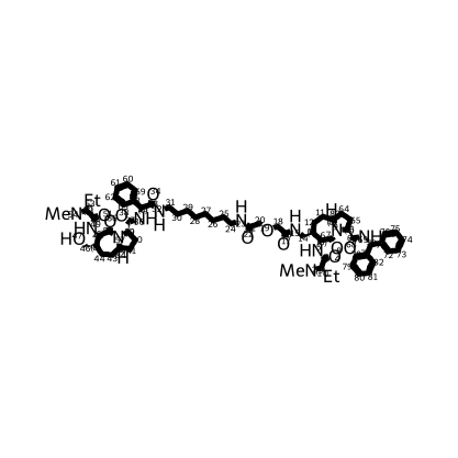 CC[C@H](NC)C(=O)N[C@@H]1C(=O)N2[C@@H](CC[C@@H]1CNC(=O)COCC(=O)NCCCCCCCCNC(=O)[C@@H](NC(=O)[C@@H]1CC[C@@H]3CC[C@H](CO)[C@H](NC(=O)[C@H](CC)NC)C(=O)N31)c1ccccc1)CC[C@H]2C(=O)NC(c1ccccc1)c1ccccc1